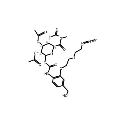 COC(=O)[C@H]1OC(OC(=O)Nc2ccc(CO)cc2OCCOCCN=[N+]=[N-])[C@H](OC(C)=O)[C@@H](OC(C)=O)[C@@H]1OC(C)=O